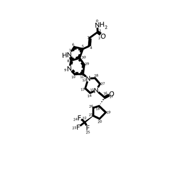 NC(=O)C=Cc1c[nH]c2ncc(N3CCN(C(=O)[C@@H]4CC[C@@H](C(F)(F)F)C4)CC3)cc12